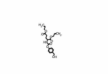 C=CCOC(=O)CCC(NC(=O)Oc1ccc(CO)cc1)C(=O)OCC=C